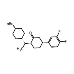 CCCC[C@H]1CC[C@H](C(C)[C@@H]2CC[C@@H](c3ccc(F)c(F)c3)CC2=O)CC1